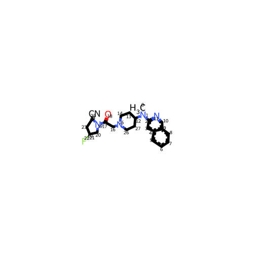 CN(c1cc2ccccc2cn1)C1CCN(CC(=O)N2C[C@@H](F)CC2C#N)CC1